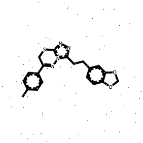 Cc1ccc(C2=Nn3c(CCc4ccc5c(c4)OCO5)nnc3SC2)cc1